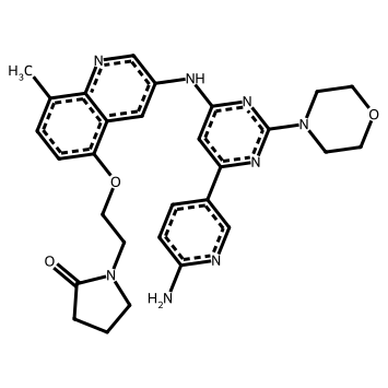 Cc1ccc(OCCN2CCCC2=O)c2cc(Nc3cc(-c4ccc(N)nc4)nc(N4CCOCC4)n3)cnc12